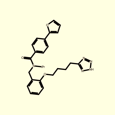 CC(C)N(Cc1ccccc1OCCCCc1nn[nH]n1)C(=O)c1ccc(-c2ccco2)cc1